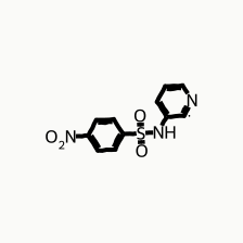 O=[N+]([O-])c1ccc(S(=O)(=O)Nc2[c]nccc2)cc1